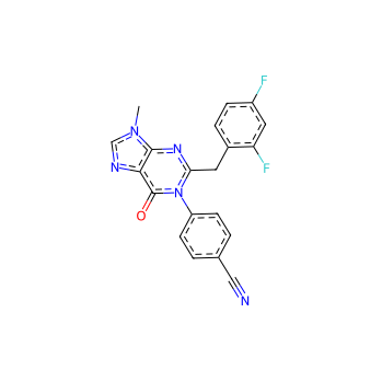 Cn1cnc2c(=O)n(-c3ccc(C#N)cc3)c(Cc3ccc(F)cc3F)nc21